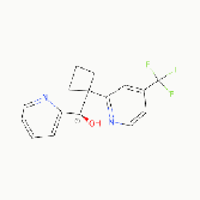 O[C@@H](c1ccccn1)C1(c2cc(C(F)(F)F)ccn2)CCC1